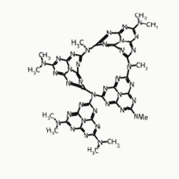 CNC1=NC2=NC3=NC4=NC(=NC(=N1)N42)N(C)C1=NC2=NC(=NC4=NC(N(C)C)=NC(=N1)N42)N(C)C1=NC2=NC(=NC4=NC(N(C)C)=NC(=N1)N42)N3C1=NC2=NC(N(C)C)=NC3=NC(N(C)C)=NC(=N1)N32